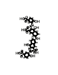 O=S(=O)(O)c1ccc(O)c(N=Nc2c(S(=O)(=O)O)cc3cc(Nc4ccc5c(O)c(N=Nc6cc(S(=O)(=O)O)ccc6O)c(S(=O)(=O)O)cc5c4)ccc3c2O)c1